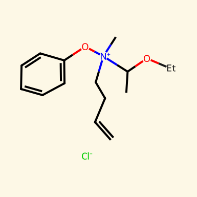 C=CCC[N+](C)(Oc1ccccc1)C(C)OCC.[Cl-]